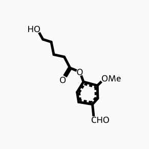 COc1cc(C=O)ccc1OC(=O)CCCCO